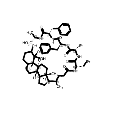 CC(C)C[C@H](NC(=O)CC[C@@H](C)[C@H]1CC[C@H]2[C@@H]3CCC4CCC(O)C(O)(O)[C@]4(C)[C@H]3CC[C@]12C)C(=O)N[C@H](C(=O)N[C@@H](Cc1ccccc1)C(=O)N[C@@H](Cc1ccccc1)C(=O)N[C@@H](C)C(=O)O)C(C)C